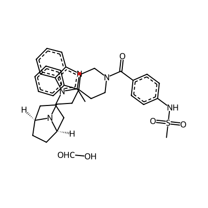 Cc1nc2ccccc2n1C1C[C@H]2CC[C@@H](C1)N2CCC1(c2ccccc2)CCN(C(=O)c2ccc(NS(C)(=O)=O)cc2)CC1.O=CO